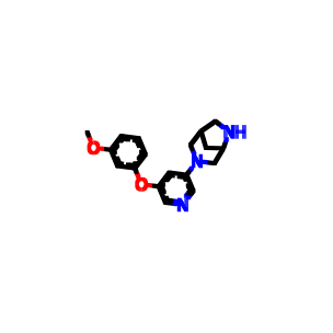 COc1cccc(Oc2cncc(N3CC4CNC(C4)C3)c2)c1